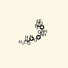 CNC(=O)c1cncc(Oc2ccc(NC(=O)Nc3ccc4c(c3)C(F)(F)OC(F)(F)O4)cc2)c1